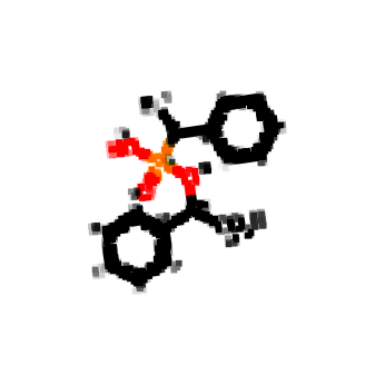 CCC(c1ccccc1)P(=O)(O)OC(C(=O)O)c1ccccc1